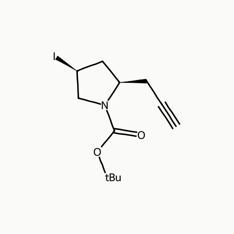 C#CC[C@@H]1C[C@H](I)CN1C(=O)OC(C)(C)C